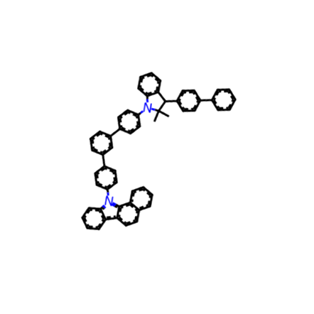 CC1(C)C(c2ccc(-c3ccccc3)cc2)c2ccccc2N1c1ccc(-c2cccc(-c3ccc(-n4c5ccccc5c5ccc6ccccc6c54)cc3)c2)cc1